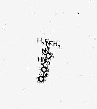 CN(C)CCn1ncc2c(NC(=O)Cc3ccc(Oc4ccccc4)cc3)cccc21